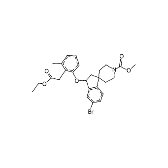 CCOC(=O)Cc1c(C)cccc1OC1CC2(CCN(C(=O)OC)CC2)c2ccc(Br)cc21